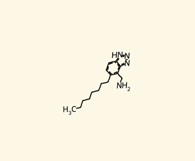 CCCCCCCCc1ccc2[nH]nnc2c1CN